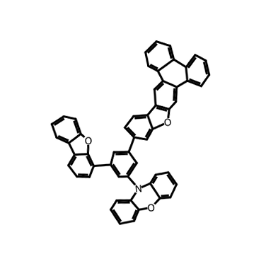 c1ccc2c(c1)Oc1ccccc1N2c1cc(-c2ccc3c(c2)oc2cc4c5ccccc5c5ccccc5c4cc23)cc(-c2cccc3c2oc2ccccc23)c1